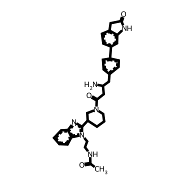 CC(=O)NCCn1c(C2CCCN(C(=O)CC(N)Cc3ccc(-c4ccc5c(c4)NC(=O)C5)cc3)C2)nc2ccccc21